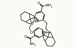 NC(=O)c1cccc(C2(OCCc3cc(C(N)=O)cc(C4(OCC(F)(F)F)C5CCCC4CNC5)c3)C3CCCC2CNC3)c1